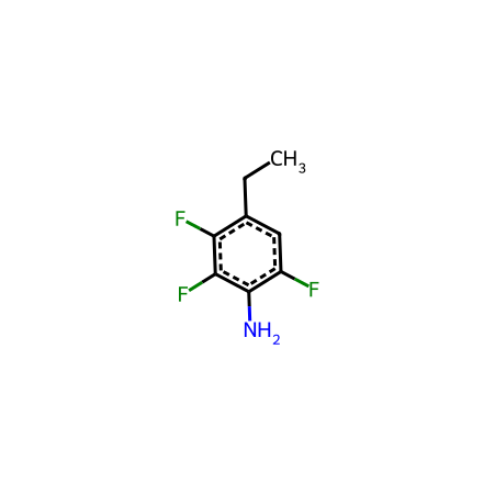 CCc1cc(F)c(N)c(F)c1F